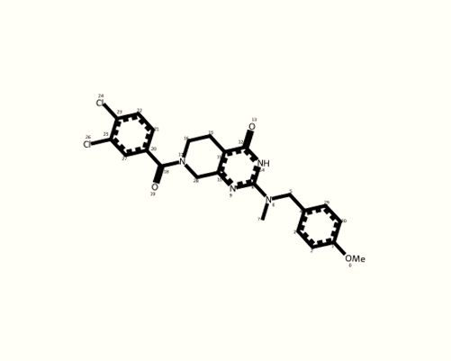 COc1ccc(CN(C)c2nc3c(c(=O)[nH]2)CCN(C(=O)c2ccc(Cl)c(Cl)c2)C3)cc1